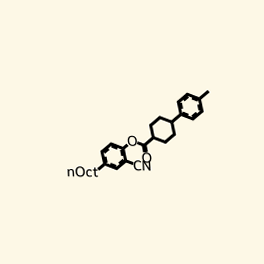 CCCCCCCCc1ccc(OC(=O)C2CCC(c3ccc(C)cc3)CC2)c(C#N)c1